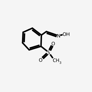 CS(=O)(=O)c1ccccc1C=NO